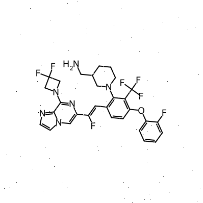 NCC1CCCN(c2c(/C=C(\F)c3cn4ccnc4c(N4CC(F)(F)C4)n3)ccc(Oc3ccccc3F)c2C(F)(F)F)C1